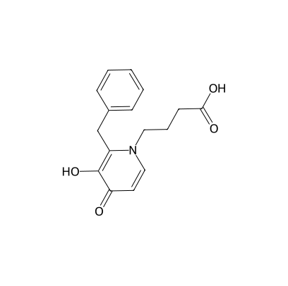 O=C(O)CCCn1ccc(=O)c(O)c1Cc1ccccc1